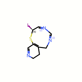 I[C@H]1/C=N\C=N/CC2=C(C=NCC2)S1